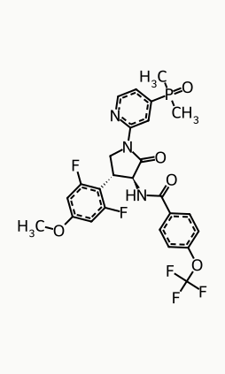 COc1cc(F)c([C@@H]2CN(c3cc(P(C)(C)=O)ccn3)C(=O)[C@H]2NC(=O)c2ccc(OC(F)(F)F)cc2)c(F)c1